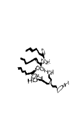 CCCCCC(=O)O.CCCCCC(=O)O.CCCCCC(=O)O.OCCN(CCO)CCO